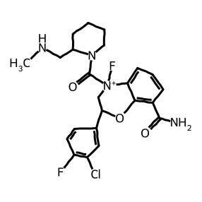 CNCC1CCCCN1C(=O)[N+]1(F)CC(c2ccc(F)c(Cl)c2)Oc2c(C(N)=O)cccc21